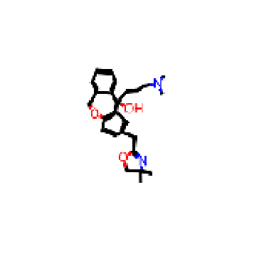 CN(C)CCCC1(O)c2ccccc2COc2ccc(CC3=NC(C)(C)CO3)cc21